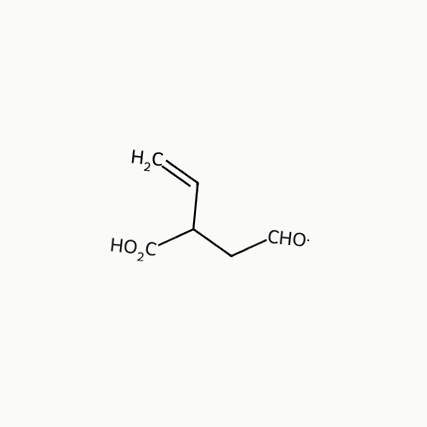 C=CC(C[C]=O)C(=O)O